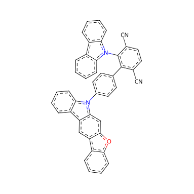 N#Cc1ccc(C#N)c(-n2c3ccccc3c3ccccc32)c1-c1ccc(-n2c3ccccc3c3cc4c(cc32)oc2ccccc24)cc1